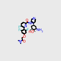 C[C@H]1C[C@@H](c2ccncc2NC(=O)c2ccc(F)c(-c3c(F)cc(OCC(=O)N(C)C)cc3F)n2)C[C@@H](N)[C@]1(C)O